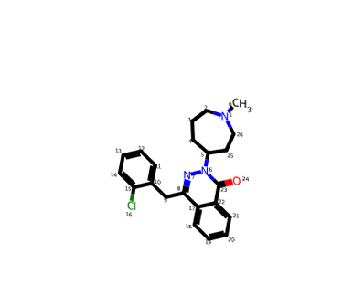 CN1CCCC(n2nc(Cc3ccccc3Cl)c3ccccc3c2=O)CC1